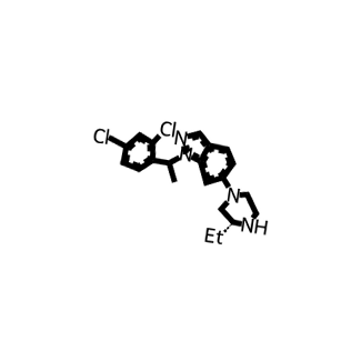 CC[C@@H]1CN(c2ccc3cnn(C(C)c4ccc(Cl)cc4Cl)c3c2)CCN1